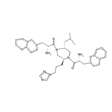 CC(C)C[C@@H]1CN(C(=O)[C@H](N)Cc2ccc3ccccc3c2)[C@@H](CCCn2cncn2)CN1C(=O)[C@H](N)Cc1ccc2ccccc2c1